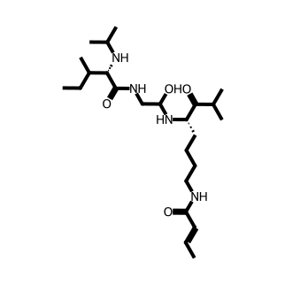 C/C=C/C(=O)NCCCC[C@H](NC(O)CNC(=O)[C@@H](NC(C)C)C(C)CC)C(=O)C(C)C